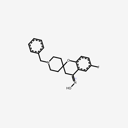 O/N=C1\CC2(CCN(Cc3ccccc3)CC2)Oc2ccc(F)cc21